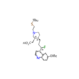 COc1ccc2nccc([C@H](F)CC[C@@H]3CCN(CCSC(C)(C)C)C[C@@H]3CC(=O)O)c2c1